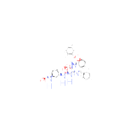 Cc1ccccc1C(=O)CN1C(=O)[C@H](NC(=O)Nc2cccc(NC=O)c2)N=C(c2ccccc2)c2ccccc21